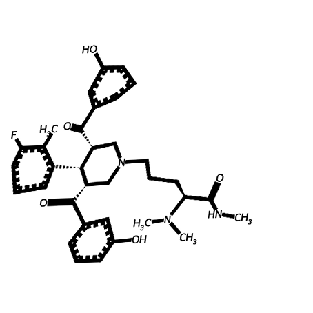 CNC(=O)[C@H](CCCN1C[C@H](C(=O)c2cccc(O)c2)[C@H](c2cccc(F)c2C)[C@H](C(=O)c2cccc(O)c2)C1)N(C)C